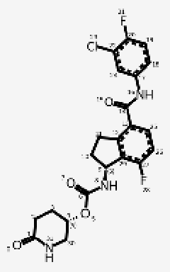 O=C1CC[C@H](OC(=O)N[C@H]2CCc3c(C(=O)Nc4ccc(F)c(Cl)c4)ccc(F)c32)CN1